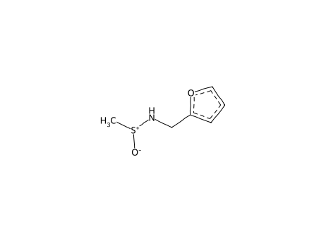 C[S+]([O-])NCc1ccco1